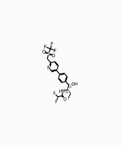 O=C(N[C@H](CF)[C@@H](O)c1ccc(-c2ccc(CS(=O)(=O)C(F)(F)F)nc2)cc1)C(F)F